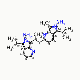 Cc1c2nc(CC(C)c3c4ncccc4c(C(C)C)n3N)ccc2c(C(C)C)n1N